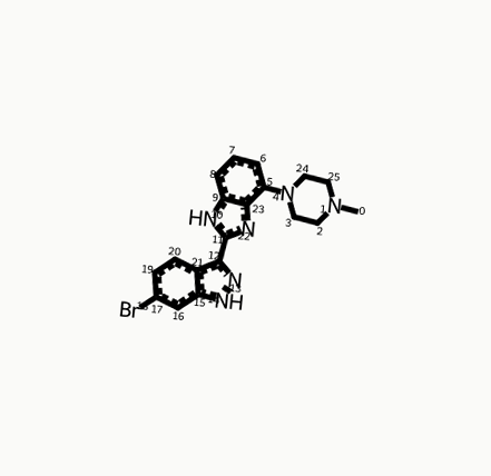 CN1CCN(c2cccc3[nH]c(-c4n[nH]c5cc(Br)ccc45)nc23)CC1